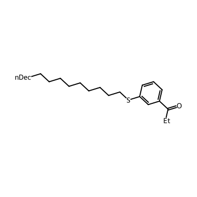 CCCCCCCCCCCCCCCCCCCSc1cccc(C(=O)CC)c1